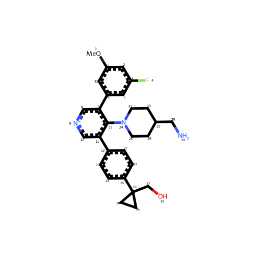 COc1cc(F)cc(-c2cncc(-c3ccc(C4(CO)CC4)cc3)c2N2CCC(CN)CC2)c1